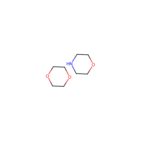 C1COCCN1.C1COCCO1